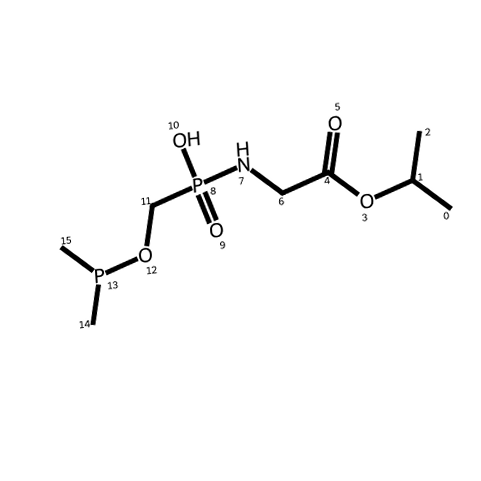 CC(C)OC(=O)CNP(=O)(O)COP(C)C